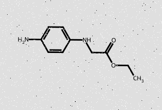 CCOC(=O)CNc1ccc(N)cc1